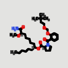 CCCCCC[C@H](CCCCC[C@@H](OC)C(N)=O)OC(=O)[C@@H]1CC=CN1C(=O)c1ccccc1OCOCC[Si](C)(C)C